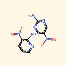 Nc1ncc([N+](=O)[O-])cn1.Nc1ncccc1[N+](=O)[O-]